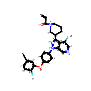 C=CC(=O)N1CCCC(c2nn(-c3ccc(Oc4cc(C)ccc4F)cc3)c3cncc(F)c23)C1